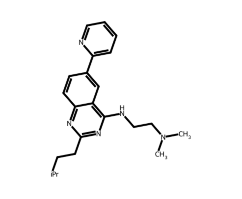 CC(C)CCc1nc(NCCN(C)C)c2cc(-c3ccccn3)ccc2n1